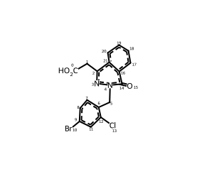 O=C(O)Cc1nn(Cc2ccc(Br)cc2Cl)c(=O)c2ccccc12